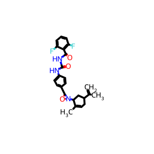 C=C(C)C1CC=C(C)C(N2OC2c2ccc(NC(=O)NC(=O)c3c(F)cccc3F)cc2)C1